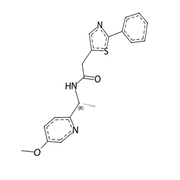 COc1ccc([C@@H](C)NC(=O)Cc2cnc(-c3ccccc3)s2)nc1